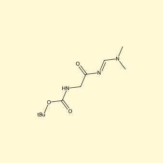 CN(C)C=NC(=O)CNC(=O)OC(C)(C)C